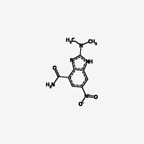 CN(C)c1nc2c(C(N)=O)cc([N+](=O)[O-])cc2[nH]1